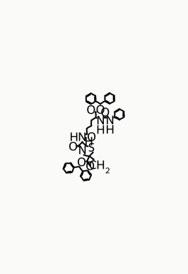 C=CC1(C(=O)OC(c2ccccc2)c2ccccc2)CS[C@@H]2C(NC(=O)CCCC(NC(=O)Nc3ccccc3)C(=O)OC(c3ccccc3)c3ccccc3)C(=O)N2C1